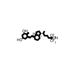 C=C1/C(=C\C=C2/CCC[C@]3(C)[C@@H](C(C)CCCC(O)(C(F)(F)F)C(F)(F)F)CC[C@@H]23)C[C@@H](O)C[C@@H]1O